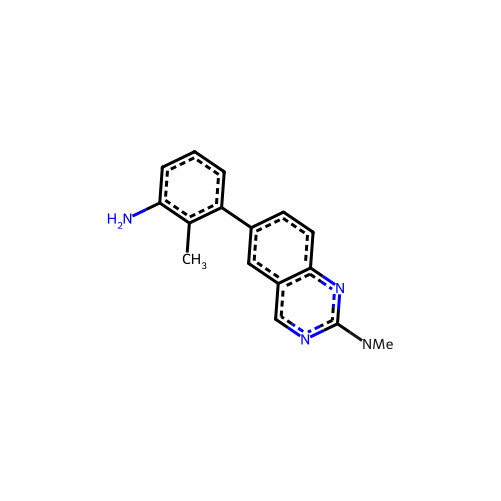 CNc1ncc2cc(-c3cccc(N)c3C)ccc2n1